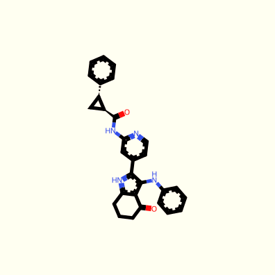 O=C1CCCc2[nH]c(-c3ccnc(NC(=O)[C@H]4C[C@@H]4c4ccccc4)c3)c(Nc3ccccc3)c21